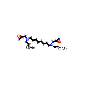 COCCN(CCCCCCCCN(CCOC)CC1CO1)CC1CO1